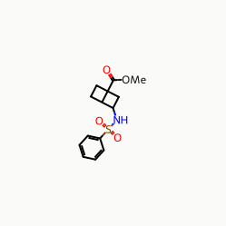 COC(=O)C12CCC1C(NS(=O)(=O)c1ccccc1)C2